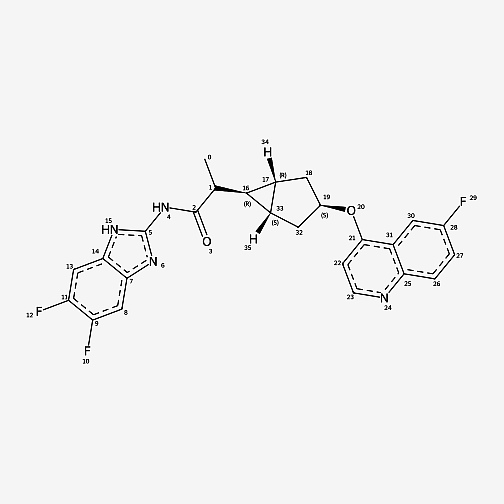 CC(C(=O)Nc1nc2cc(F)c(F)cc2[nH]1)[C@H]1[C@@H]2C[C@@H](Oc3ccnc4ccc(F)cc34)C[C@@H]21